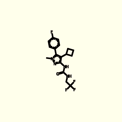 Cn1nc(NC(=O)NCC(F)(F)F)c(C2CCC2)c1-c1ccc(F)cc1